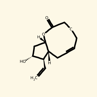 C=C[C@@H]1[C@H]2C/C=C\CCCC(=O)O[C@H]2C[C@H]1O